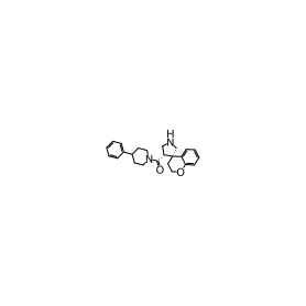 O=C([C@@H]1CNC[C@]12CCOc1ccccc12)N1CCC(c2ccccc2)CC1